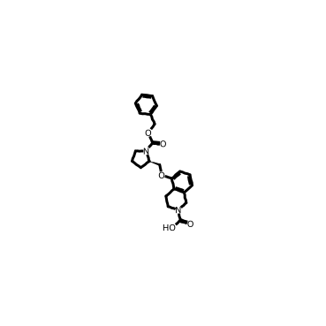 O=C(O)N1CCc2c(cccc2OC[C@H]2CCCN2C(=O)OCc2ccccc2)C1